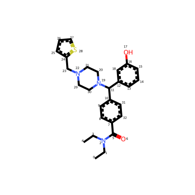 CCN(CC)C(=O)c1ccc(C(c2cccc(O)c2)N2CCN(Cc3cccs3)CC2)cc1